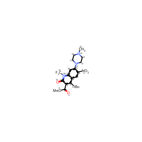 COC(=O)c1c(C(C)(C)C)c2cc([N+](=O)[O-])c(N3CCN(C)CC3)cc2n(C(F)(F)F)c1=O